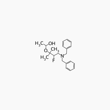 CC(O)OC(C)(C)C(F)CN(Cc1ccccc1)Cc1ccccc1